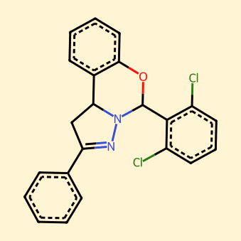 Clc1cccc(Cl)c1C1Oc2ccccc2C2CC(c3ccccc3)=NN21